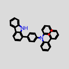 c1ccc(-c2ccccc2N(c2ccccc2)c2ccc(-c3cccc4c3[nH]c3ccccc34)cc2)cc1